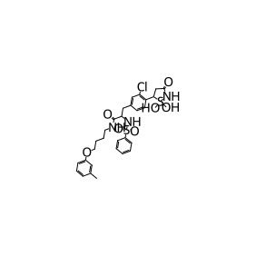 Cc1cccc(OCCCCNC(=O)C(Cc2ccc(C3CC(=O)NS3(O)O)c(Cl)c2)NS(=O)(=O)c2ccccc2)c1